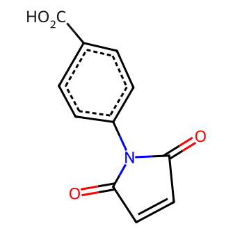 O=C(O)c1ccc(N2C(=O)C=CC2=O)cc1